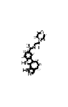 O=C(NCCN1CCOCC1)c1ccc2c(c1)C1CCCc3cn[nH]c3C1N2